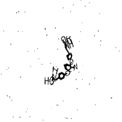 N#Cc1c(Oc2ccc(CNO)cc2)cccc1Oc1ccc(CNO)cc1